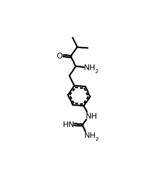 CC(C)C(=O)C(N)Cc1ccc(NC(=N)N)cc1